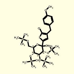 COc1ccc(Cc2cc(C3(O)O[C@H](CO[Si](C)(C)C)[C@@H](O[Si](C)(C)C)[C@H](O[Si](C)(C)C)[C@H]3O[Si](C)(C)C)sc2Cl)cc1